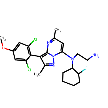 COc1cc(Cl)c(-c2c(C)nn3c(N(CCN)C4CCCCC4F)cc(C)nc23)c(Cl)c1